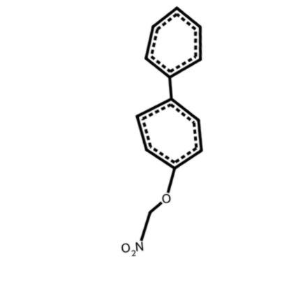 O=[N+]([O-])COc1ccc(-c2ccccc2)cc1